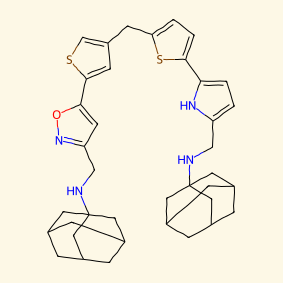 c1sc(-c2cc(CNC34CC5CC(CC(C5)C3)C4)no2)cc1Cc1ccc(-c2ccc(CNC34CC5CC(CC(C5)C3)C4)[nH]2)s1